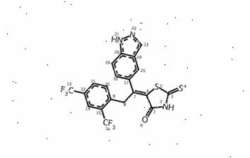 O=C1NC(=S)SC1=C(Cc1ccc(C(F)(F)F)cc1C(F)(F)F)c1ccc2[nH]ncc2c1